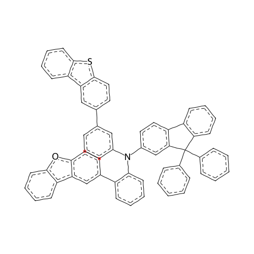 c1ccc(C2(c3ccccc3)c3ccccc3-c3ccc(N(c4cccc(-c5ccc6sc7ccccc7c6c5)c4)c4ccccc4-c4ccc5oc6ccccc6c5c4)cc32)cc1